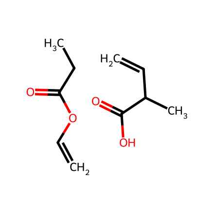 C=CC(C)C(=O)O.C=COC(=O)CC